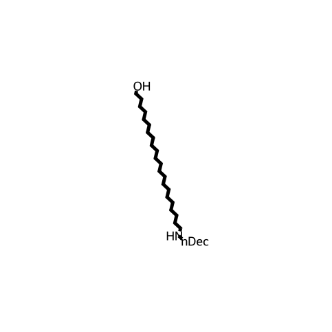 CCCCCCCCCCNCCCCCCCCCCCCCCCCCCCCCCO